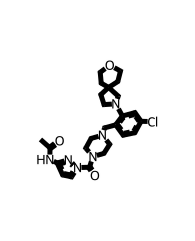 CC(=O)Nc1ccn(C(=O)N2CCN(Cc3ccc(Cl)cc3N3CCC4(CCOCC4)C3)CC2)n1